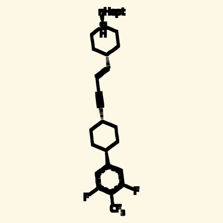 CCCCCCC[Si@H]1CC[C@H](C=CC#C[C@H]2CC[C@H](c3cc(F)c(C(F)(F)F)c(F)c3)CC2)CC1